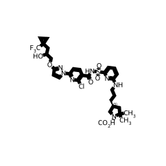 CC1(C)C[C@H](CCCNc2cccc(S(=O)(=O)NC(=O)c3ccc(-n4ccc(OCC(O)CC5(C(F)(F)F)CC5)n4)nc3Cl)n2)CN1C(=O)O